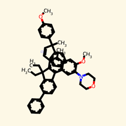 CCC1(CC)c2cc(-c3ccccc3)ccc2-c2c1c(/C=C\C(C)(c1ccccc1)c1ccc(OC)cc1)c(C)c1cc(OC)c(N3CCOCC3)cc21